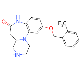 O=C1CC2CNCCN2c2cc(OCc3ccccc3C(F)(F)F)ccc2N1